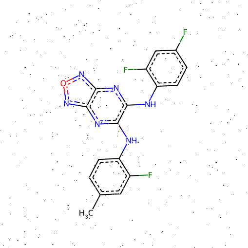 Cc1ccc(Nc2nc3nonc3nc2Nc2ccc(F)cc2F)c(F)c1